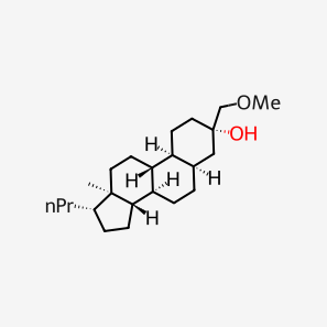 CCC[C@H]1CC[C@H]2[C@@H]3CC[C@@H]4C[C@](O)(COC)CC[C@@H]4[C@H]3CC[C@]12C